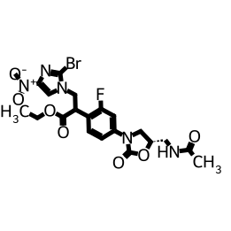 CCOC(=O)C(Cn1cc([N+](=O)[O-])nc1Br)c1ccc(N2C[C@H](CNC(C)=O)OC2=O)cc1F